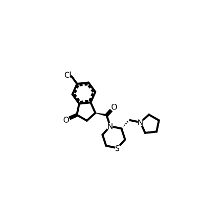 O=C1C[C@H](C(=O)N2CCSC[C@H]2CN2CCCC2)c2ccc(Cl)cc21